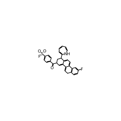 O=C(c1ccc(S(=O)(=O)F)cc1)C1C=c2c(ccc3c2=CCc2ccc(F)cc2-3)C(C2=CC=CC=CN2)C1